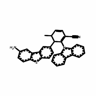 CC1C=CC(C#N)=C(n2c3ccccc3c3ccccc32)C1c1ccc2sc3ccc(N)cc3c2c1